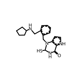 O=C1NC(S)N(Cc2ccccc2CNC2CCCC2)c2cc[nH]c21